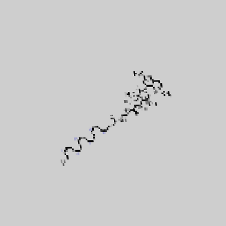 CC/C=C\C/C=C\C/C=C\C/C=C\C/C=C\C/C=C\CCC(=O)NCCNC(=O)C[C@H](O)C[C@@H](O)CC[C@@H]1C2C(=C[C@H](C)CC2OC(=O)C(C)(C)CC)C=C[C@@H]1C